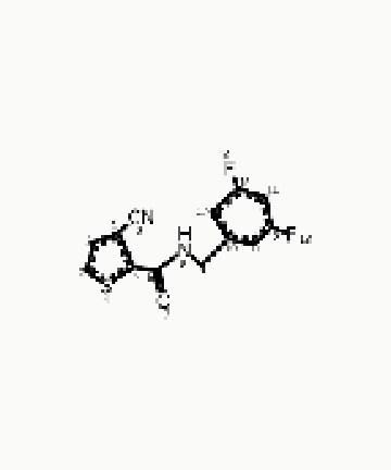 N#Cc1ccsc1C(=O)NCc1cc(F)cc(F)c1